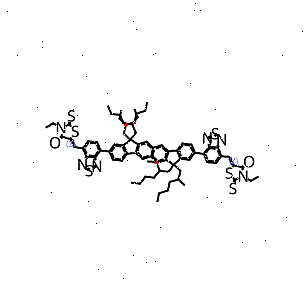 CCCCC(C)CC1(CC(CC)CCCC)c2cc(-c3ccc(/C=C4\SC(=S)N(CC)C4=O)c4nsnc34)ccc2-c2cc3cc4c(cc3cc21)-c1ccc(-c2ccc(/C=C3\SC(=S)N(CC)C3=O)c3nsnc23)cc1C4(CC(CC)CCCC)CC(CC)CCCC